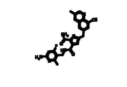 Cc1cnc2c(C#N)cc(Cn3cc(C(=O)NCc4c(F)cc(N)nc4C)c(C(N)=O)n3)cc2c1